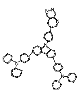 c1ccc(N(c2ccccc2)c2ccc(-c3ccc4c(c3)c3cc(-c5ccc(N(c6ccccc6)c6ccccc6)cc5)ccc3n4-c3ccc(-c4cnc5cnncc5c4)cc3)cc2)cc1